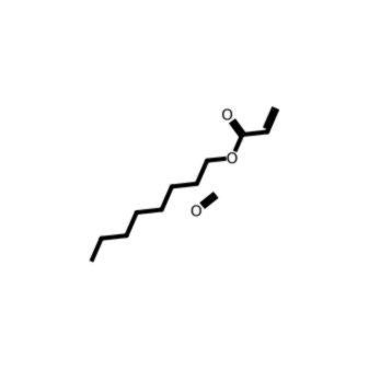 C=CC(=O)OCCCCCCCC.C=O